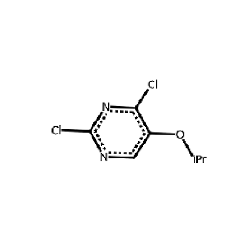 CC(C)Oc1cnc(Cl)nc1Cl